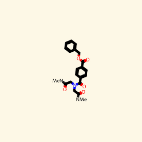 CNC(=O)CN(CC(=O)NC)C(=O)c1ccc(C(=O)OCc2ccccc2)cc1